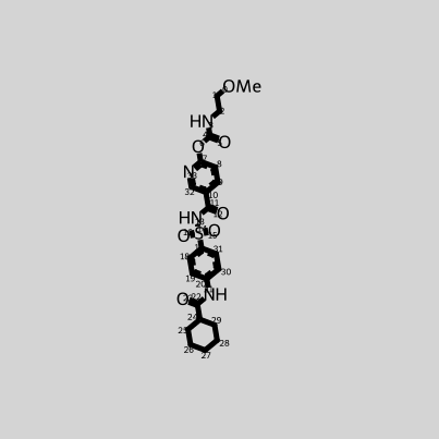 COCCNC(=O)Oc1ccc(C(=O)NS(=O)(=O)c2ccc(NC(=O)C3CCCCC3)cc2)cn1